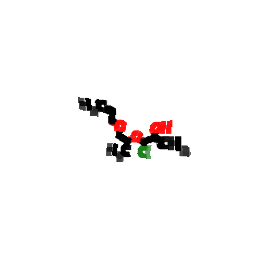 C=CCOCC(C)OC(Cl)C(C)O